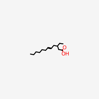 CCCCCC/C=C/CC(CC)CC(=O)O